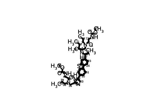 C/C=C(\N/C(CN(CCC)C(=O)CNC(=O)OC)=C(\C)CC)c1ccc2c(c1)sc1cc(-c3cnc(CN(CCC)C(=O)CNC(=O)OC)[nH]3)ccc12